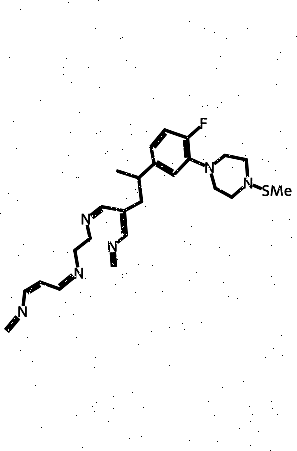 C=N/C=C\C=N/CC/N=C\C(=C/N=C)CC(C)c1ccc(F)c(N2CCN(SC)CC2)c1